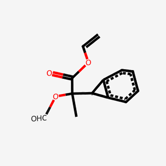 C=COC(=O)C(C)(OC=O)[C]1c2ccccc21